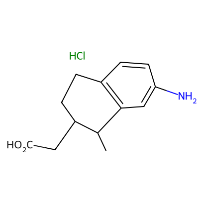 CC1c2cc(N)ccc2CCC1CC(=O)O.Cl